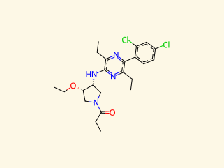 CCO[C@H]1CN(C(=O)CC)C[C@H]1Nc1nc(CC)c(-c2ccc(Cl)cc2Cl)nc1CC